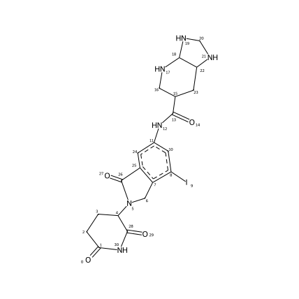 O=C1CCC(N2Cc3c(I)cc(NC(=O)C4CNC5NCNC5C4)cc3C2=O)C(=O)N1